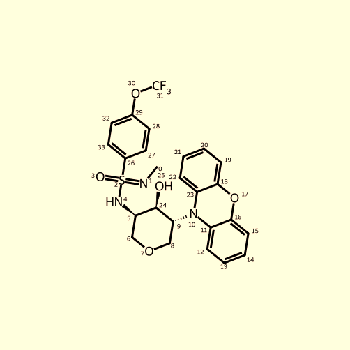 CN=S(=O)(N[C@@H]1COC[C@@H](N2c3ccccc3Oc3ccccc32)[C@@H]1O)c1ccc(OC(F)(F)F)cc1